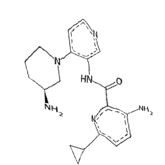 Nc1ccc(C2CC2)nc1C(=O)Nc1cnccc1N1CCC[C@H](N)C1